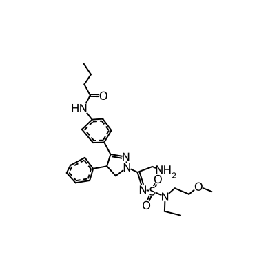 CCCC(=O)Nc1ccc(C2=NN(/C(CN)=N/S(=O)(=O)N(CC)CCOC)CC2c2ccccc2)cc1